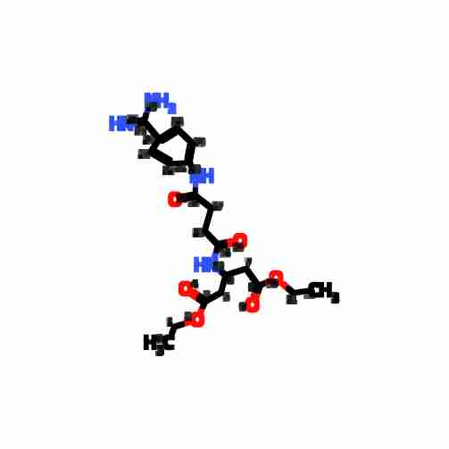 CCOC(=O)CC(CC(=O)OCC)NC(=O)CCC(=O)Nc1ccc(C(=N)N)cc1